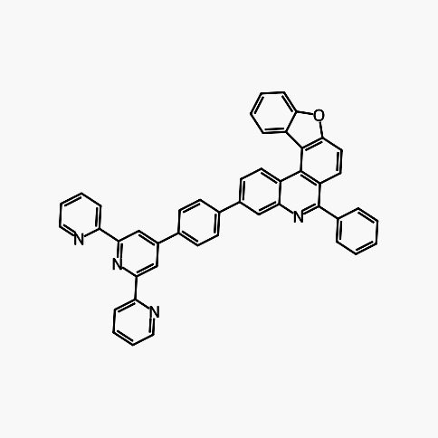 c1ccc(-c2nc3cc(-c4ccc(-c5cc(-c6ccccn6)nc(-c6ccccn6)c5)cc4)ccc3c3c2ccc2oc4ccccc4c23)cc1